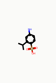 CC(C)c1cc([NH])ccc1S(=O)(=O)O